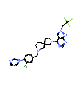 FC(F)(F)Cn1cc2c(N3CCC4(CCN(Cc5ccc(-n6ccnc6)c(Cl)c5)C4)C3)ncnc2n1